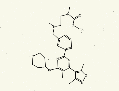 Cc1noc(C)c1-c1nc(-c2cccc(CN(C)CCN(C)C(=O)OC(C)(C)C)c2)nc(NC2CCOCC2)c1C